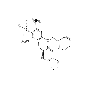 Nc1cc(OCc2ccccc2)c(Cc2ncc3c(n2)CCCC3)c(N)c1C(F)(F)F